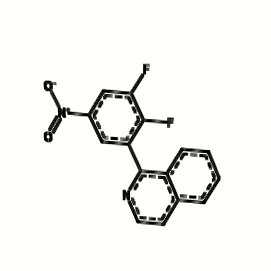 O=[N+]([O-])c1cc(F)c(F)c(-c2nccc3ccccc23)c1